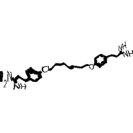 N=C(N)CCc1ccc(OCCCCCCCCOc2ccc(CCC(=N)N)cc2)cc1